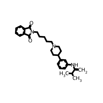 C=C(Nc1cccc(C2CCN(CCCCCN3C(=O)c4ccccc4C3=O)CC2)c1)C(C)C